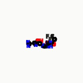 O=C(CNC(=O)c1cccc(C(F)(F)F)c1)N[C@@H]1CCN(C2CCC(O)(c3ccc(-c4cncnc4)cn3)CC2)C1